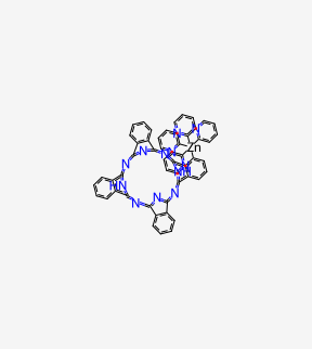 c1cc[c]([Zn]([c]2ccccn2)([c]2ccccn2)([c]2ccccn2)[c]2cccc3c4nc5nc(nc6[nH]c(nc7nc(nc([nH]4)c23)-c2ccccc2-7)c2ccccc62)-c2ccccc2-5)nc1